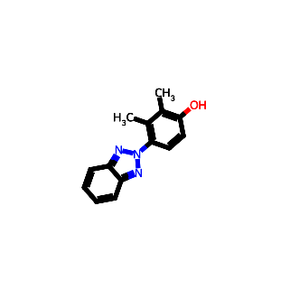 Cc1c(O)ccc(-n2nc3ccccc3n2)c1C